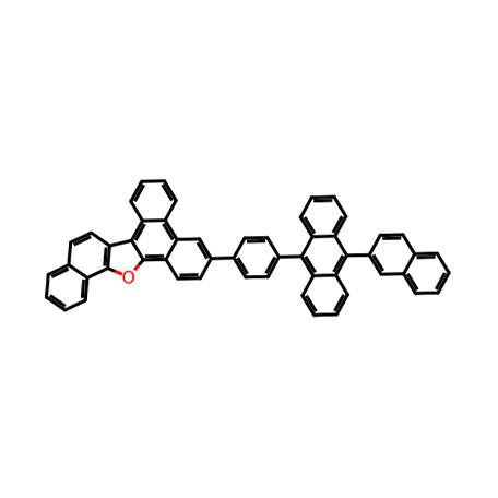 c1ccc2cc(-c3c4ccccc4c(-c4ccc(-c5ccc6c(c5)c5ccccc5c5c7ccc8ccccc8c7oc65)cc4)c4ccccc34)ccc2c1